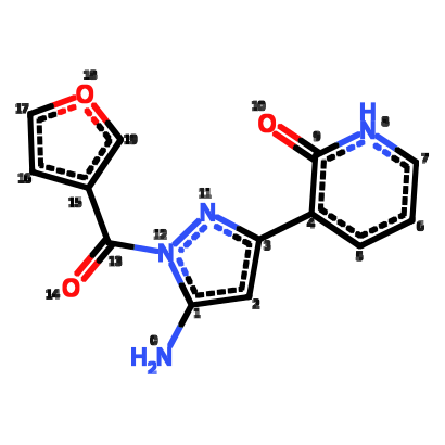 Nc1cc(-c2ccc[nH]c2=O)nn1C(=O)c1ccoc1